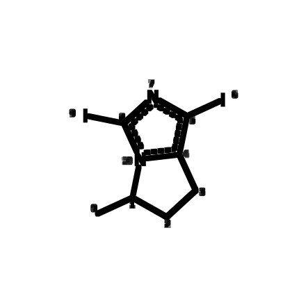 CC1CCc2c(I)nc(I)n21